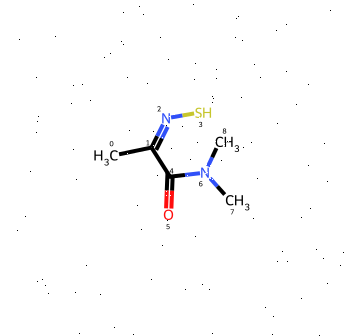 CC(=NS)C(=O)N(C)C